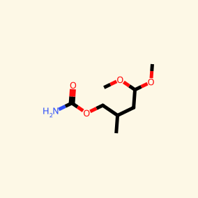 COC(CC(C)COC(N)=O)OC